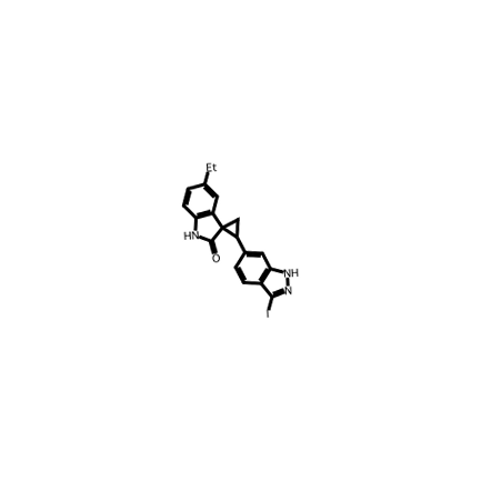 CCc1ccc2c(c1)C1(CC1c1ccc3c(I)n[nH]c3c1)C(=O)N2